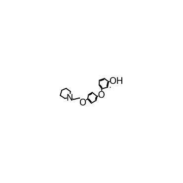 Oc1[c]c(Oc2ccc(OCCN3CCCCC3)cc2)ccc1